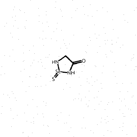 O=C1CN[Se](=S)N1